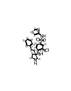 O=S(=O)(Nc1cscn1)c1ccc(NC2(CCc3ccccc3)CCNC2)c(Cl)c1